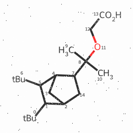 CC(C)(C)C1C2CC(C1C(C)(C)C)C(C(C)(C)OCC(=O)O)C2